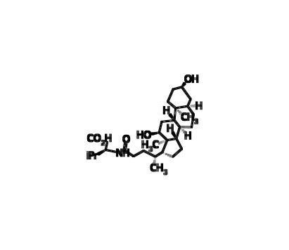 CC(C)[C@H](NC(=O)CC[C@@H](C)[C@H]1CC[C@H]2[C@@H]3CC[C@@H]4C[C@H](O)CC[C@]4(C)[C@H]3C[C@H](O)[C@]12C)C(=O)O